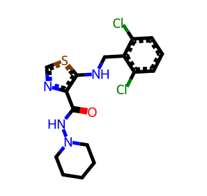 O=C(NN1CCCCC1)c1ncsc1NCc1c(Cl)cccc1Cl